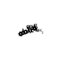 Cc1nc(N2CCC3(CC2)Cc2ccccc2[C@H]3I)c(CO)nc1-c1cc(N)nc(Cl)c1Cl